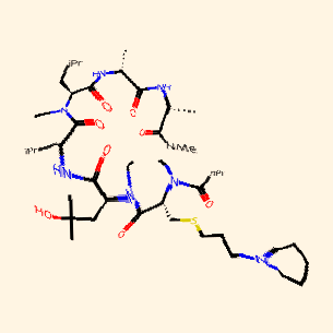 CCCC(=O)N(C)[C@H](CSCCCN1CCCCC1)C(=O)N(C)[C@@H](CC(C)(C)O)C(=O)N[C@H](C(=O)N(C)[C@@H](CC(C)C)C(=O)N[C@H](C)C(=O)N[C@H](C)C(=O)NC)C(C)C